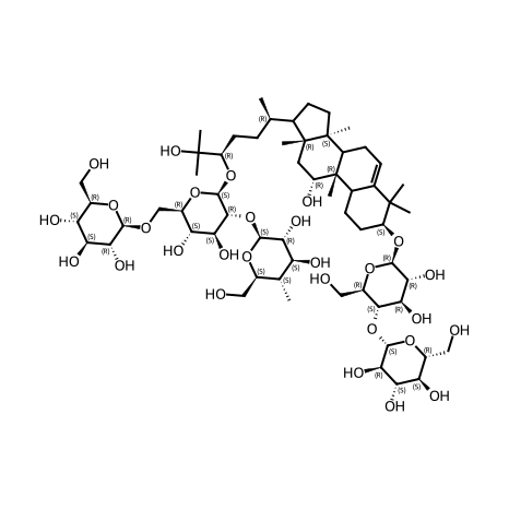 C[C@H]1[C@H](O)[C@@H](O)[C@H](O[C@H]2[C@H](O[C@H](CC[C@@H](C)C3CC[C@@]4(C)C5CC=C6C(CC[C@H](O[C@@H]7O[C@H](CO)[C@@H](O[C@@H]8O[C@H](CO)[C@@H](O)[C@H](O)[C@H]8O)[C@H](O)[C@H]7O)C6(C)C)[C@]5(C)[C@H](O)C[C@]34C)C(C)(C)O)O[C@H](CO[C@@H]3O[C@H](CO)[C@@H](O)[C@H](O)[C@H]3O)[C@@H](O)[C@@H]2O)O[C@@H]1CO